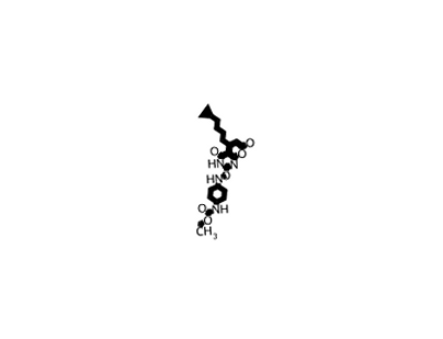 CCOC(=O)NC1CCC(NOc2nc3oc(=O)cc(CCCCC4CC4)c3c(=O)[nH]2)CC1